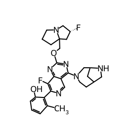 Cc1cccc(O)c1-c1ncc2c(N3CCC4CNC(C4)C3)nc(OCC34CCCN3C[C@H](F)C4)nc2c1F